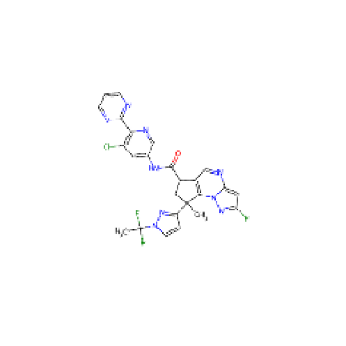 CC1(c2ccn(C(C)(F)F)n2)CC(C(=O)Nc2cnc(-c3ncccn3)c(Cl)c2)c2cnc3cc(F)nn3c21